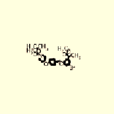 COC(=O)C(C)c1cc(Br)cc(OCc2ccc(OC3CCN(C(=O)OC(C)(C)C)CC3)cc2)c1